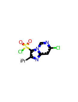 CC(C)c1nc2cc(Cl)ncn2c1S(=O)(=O)Cl